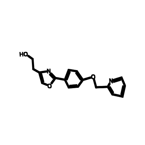 OCCc1coc(-c2ccc(OCc3ccccn3)cc2)n1